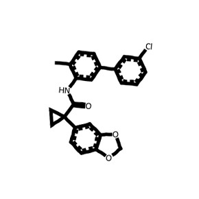 Cc1ccc(-c2cccc(Cl)c2)cc1NC(=O)C1(c2ccc3c(c2)OCO3)CC1